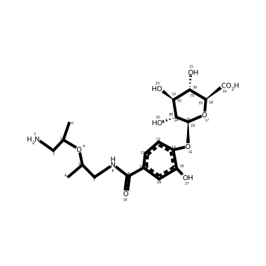 CC(CN)OC(C)CNC(=O)c1ccc(O[C@@H]2O[C@H](C(=O)O)[C@@H](O)[C@H](O)[C@H]2O)c(O)c1